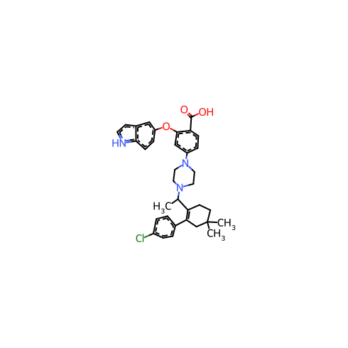 CC(C1=C(c2ccc(Cl)cc2)CC(C)(C)CC1)N1CCN(c2ccc(C(=O)O)c(Oc3ccc4[nH]ccc4c3)c2)CC1